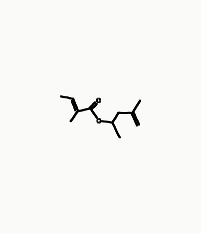 C=C(C)CC(C)OC(=O)/C(C)=C/C